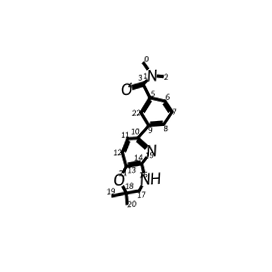 CN(C)C(=O)c1cccc(-c2ccc3c(n2)NCC(C)(C)O3)c1